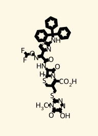 Cn1c(SCC2=C(C(=O)O)N3C(=O)C(NC(=O)C(=NOC(F)F)c4csc(NC(c5ccccc5)(c5ccccc5)c5ccccc5)n4)[C@@H]3SC2)nnc(O)c1=O